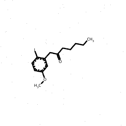 CCCCCC(=O)Cc1cc(OC)ccc1I